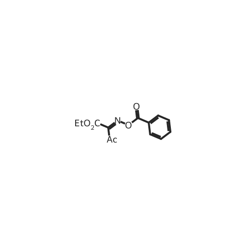 CCOC(=O)C(=NOC(=O)c1ccccc1)C(C)=O